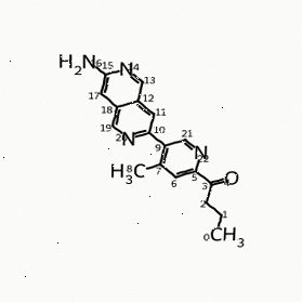 CCCC(=O)c1cc(C)c(-c2cc3cnc(N)cc3cn2)cn1